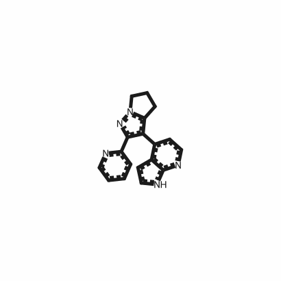 c1ccc(-c2nn3c(c2-c2ccnc4[nH]ccc24)CCC3)nc1